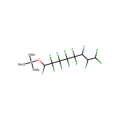 CO[Si](OC)(OC)OC(F)C(F)(F)C(F)(F)C(F)(F)C(F)(F)C(F)C(F)C(F)F